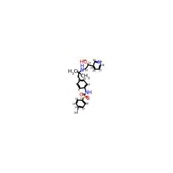 CC(C)(Cc1ccc(NS(=O)(=O)c2ccc(I)cc2)cc1)NCC(O)c1cccnc1